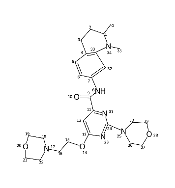 CC1CCc2ccc(NC(=O)c3cc(OCCN4CCOCC4)nc(N4CCOCC4)n3)cc2N1C